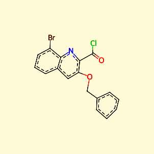 O=C(Cl)c1nc2c(Br)cccc2cc1OCc1ccccc1